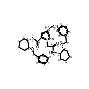 CNc1cc(C(=O)N[C@H]2CCCC[C@@H]2OCc2ccccc2)n(CC(=O)N[C@@H]2CCCC[C@H]2OCc2ccccc2)n1